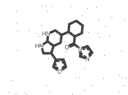 O=C(C1CCCCC1C1CNC2NCC(c3ccoc3)C2C1)n1ccnc1